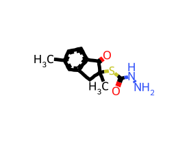 Cc1ccc2c(c1)CC(C)(SC(=O)NN)C2=O